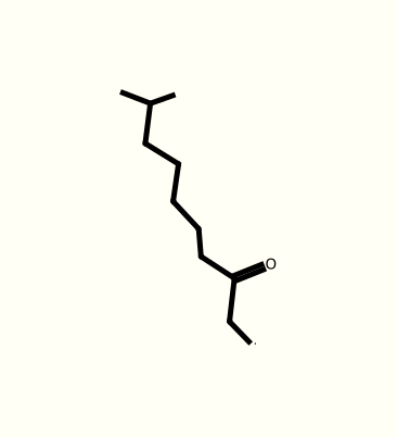 [CH2]CC(=O)CCCCCC(C)C